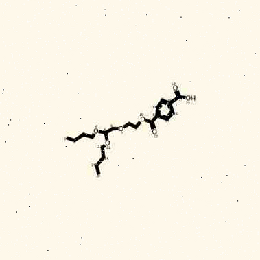 CCCCOC(COCCOC(=O)c1ccc(C(=O)O)cc1)OCCCC